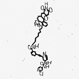 O=C1CCC(CC2CCC(=O)c3c(NCCCCCCCCNC(=O)c4cccc(C#Cc5cc(NC(=O)Nc6ccnc(Cl)c6)ccn5)c4)cccc3C2=O)C(=O)N1